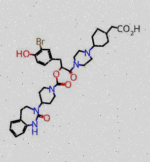 O=C(O)CC1CCC(N2CCN(C(=O)C(Cc3ccc(O)c(Br)c3)OC(=O)N3CCC(N4CCc5ccccc5NC4=O)CC3)CC2)CC1